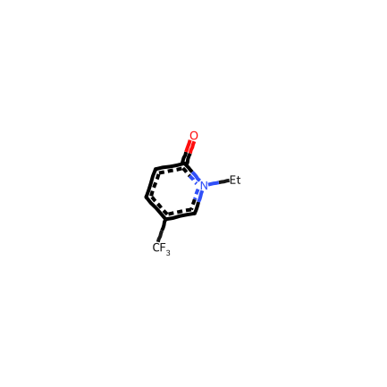 CCn1cc(C(F)(F)F)ccc1=O